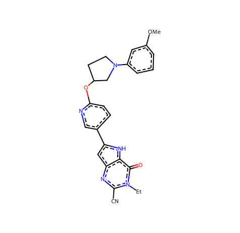 CCn1c(C#N)nc2cc(-c3ccc(OC4CCN(c5cccc(OC)c5)C4)nc3)[nH]c2c1=O